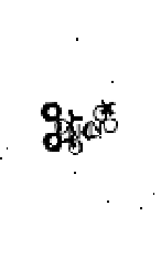 CC(C)CN(C(=O)c1ccccc1Oc1ccccc1)[C@H]1CCN(C(=O)OC(C)(C)C)C1